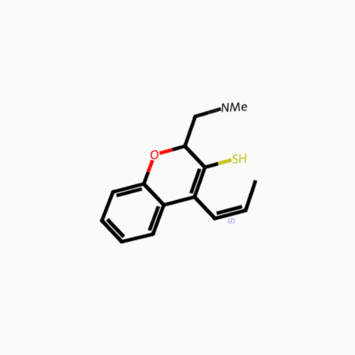 C/C=C\C1=C(S)C(CNC)Oc2ccccc21